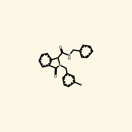 O=C(NCc1ccccc1)C1c2ccccc2C(=O)N1Cc1cccc(F)c1